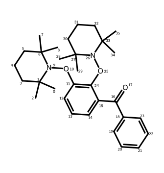 CC1(C)CCCC(C)(C)N1Oc1cccc(C(=O)c2ccccc2)c1ON1C(C)(C)CCCC1(C)C